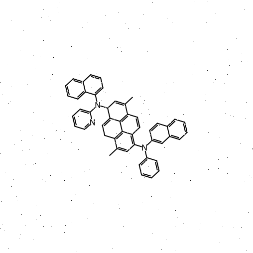 CC1=CC(N(c2ccccn2)c2cccc3ccccc23)C2=CCc3c(C)cc(N(c4ccccc4)c4ccc5ccccc5c4)c4ccc1c2c34